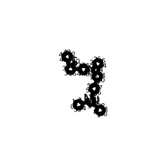 c1ccc(-c2cc(-c3ccccc3)nc(-c3ccc(-c4ccc5c6ccccc6n(-c6ccc(-c7cccc8c7sc7ccccc78)cc6)c5c4)cc3)n2)cc1